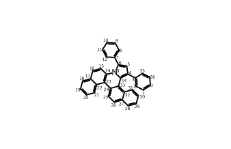 c1ccc(-c2cc(-c3ccccc3)n3c4ccc5ccccc5c4c4ccc5ccccc5c4c23)cc1